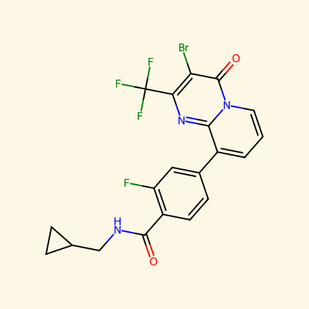 O=C(NCC1CC1)c1ccc(-c2cccn3c(=O)c(Br)c(C(F)(F)F)nc23)cc1F